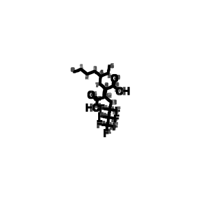 CCCCC(CC)CC(C(=O)O)=C(CC(F)(F)C(F)(F)C(F)(F)F)C(=O)O